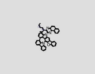 C=C/C(=C\C=C/C)c1nc2ccc3ccccc3c2nc1-n1c2cccc3c4cccc5c6ccccc6n(c45)c4c5oc6ccccc6c5cc1c4c32